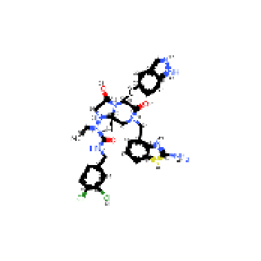 N#CCN(C(=O)NCc1ccc(Cl)c(Cl)c1)N1CC(=O)N2[C@@H](Cc3ccc4[nH]ncc4c3)C(=O)N(Cc3cccc4sc(N)nc34)C[C@@H]21